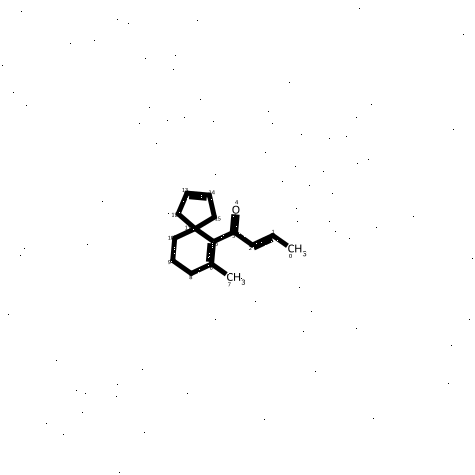 CC=CC(=O)C1=C(C)CCCC12CC=CC2